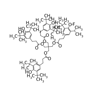 CC(C)c1cc(CCC(=O)OCC(COC(=O)CCc2cc(C(C)(C)C)c(O)c(C(C)(C)C)c2)(COC(=O)CCc2cc(C(C)(C)C)c(O)c(C(C)(C)C)c2)COC(=O)CCc2cc(C(C)(C)C)c(O)c(C(C)(C)C)c2)cc(C(C)(C)C)c1OF